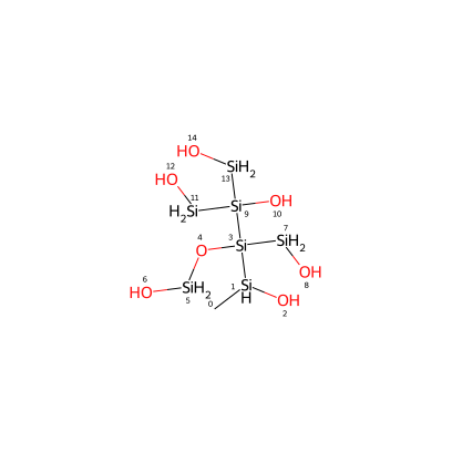 C[SiH](O)[Si](O[SiH2]O)([SiH2]O)[Si](O)([SiH2]O)[SiH2]O